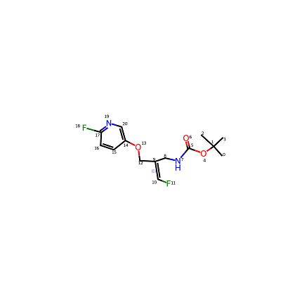 CC(C)(C)OC(=O)NC/C(=C\F)COc1ccc(F)nc1